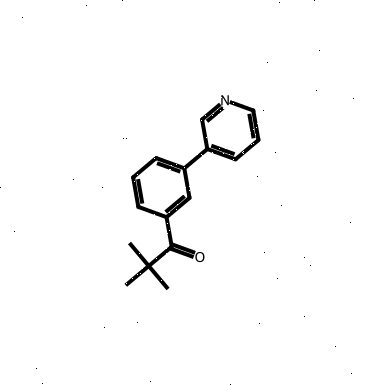 CC(C)(C)C(=O)c1cccc(-c2cccnc2)c1